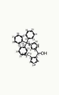 Cc1cscc1C(O)c1cn(C(c2ccccc2)(c2ccccc2)c2ccccc2)cn1